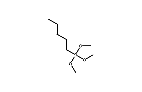 CC[CH]CC[Si](OC)(OC)OC